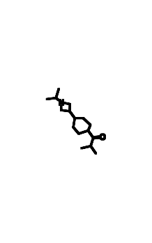 CC(C)C(=O)C1CCC(C2CN(C(C)C)C2)CC1